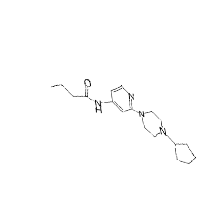 CCCC(=O)Nc1ccnc(N2CCN(C3CCCC3)CC2)c1